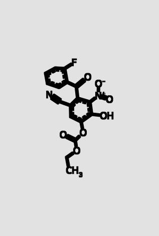 CCOC(=O)Oc1cc(C#N)c(C(=O)c2ccccc2F)c([N+](=O)[O-])c1O